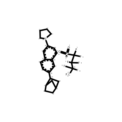 O=S(=O)([O-])C(F)(F)C(F)(F)C(F)(F)C(F)(F)F.c1cc2cc([S+]3CCCC3)ccc2cc1C1CC2CCC1C2